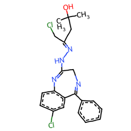 CC(C)(O)CC(CCl)=NNC1=Nc2ccc(Cl)cc2C(c2ccccc2)=NC1